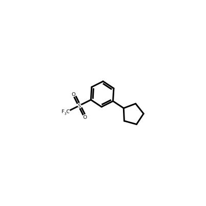 O=S(=O)(c1cccc(C2CCCC2)c1)C(F)(F)F